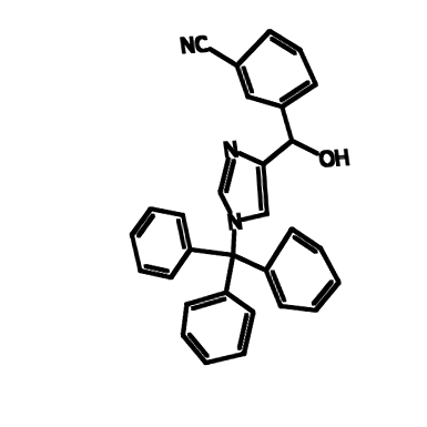 N#Cc1cccc(C(O)c2cn(C(c3ccccc3)(c3ccccc3)c3ccccc3)cn2)c1